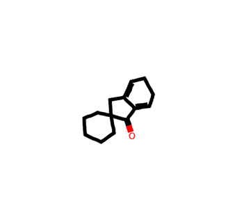 O=C1C2=CCCC=C2CC12CCCCC2